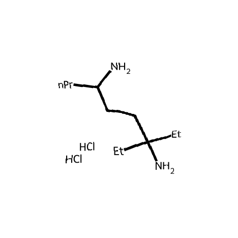 CCCC(N)CCC(N)(CC)CC.Cl.Cl